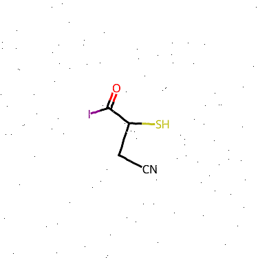 N#CCC(S)C(=O)I